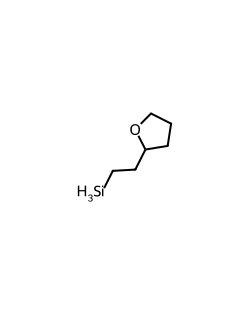 [SiH3]CCC1CCCO1